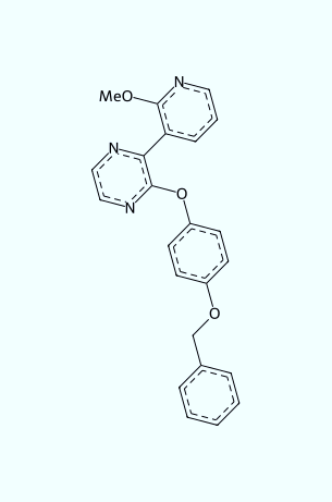 COc1ncccc1-c1nccnc1Oc1ccc(OCc2ccccc2)cc1